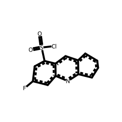 O=S(=O)(Cl)c1cc(F)cc2nc3ccccc3cc12